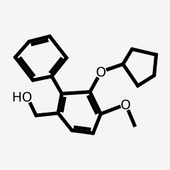 COc1ccc(CO)c(-c2ccccc2)c1OC1CCCC1